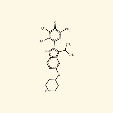 Cc1c(-c2[nH]c3ccc(OC4CCNCC4)cc3c2C(C)C)cn(C)c(=O)c1C